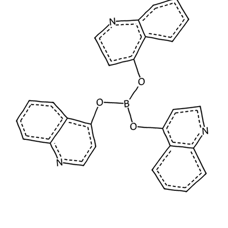 c1ccc2c(OB(Oc3ccnc4ccccc34)Oc3ccnc4ccccc34)ccnc2c1